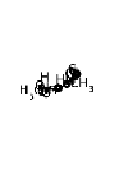 C[C@@H](NC1CC[C@@H](c2ccc(OCC(=O)NS(C)(=O)=O)cc2)C1)c1cccc2c1OCO2